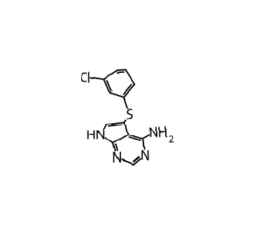 Nc1ncnc2[nH]cc(Sc3cccc(Cl)c3)c12